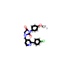 O=C1CN(Cc2ccnc(-c3ccc(Cl)cc3)c2)C(=O)N1c1ccc(OC(F)(F)F)cc1